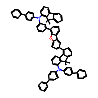 CC1(C)c2ccccc2-c2cccc(N(c3ccc(-c4ccccc4)cc3)c3cccc(-c4cccc5c4oc4ccc(-c6cccc7c6-c6cccc(N(c8ccc(-c9ccccc9)cc8)c8ccc(-c9ccccc9)cc8)c6C7(C)C)cc45)c3)c21